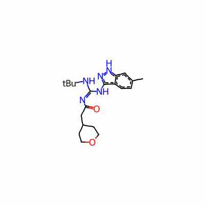 Cc1ccc2c(N/C(=N\C(=O)CC3CCOCC3)NC(C)(C)C)n[nH]c2c1